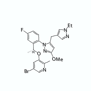 CCn1cc(Cc2cc(OC)nn2-c2ccc(F)cc2[C@@H](C)Oc2cc(Br)cnc2C)cn1